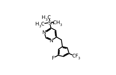 [CH3][Sn]([CH3])([CH3])[c]1cc(Cc2cc(F)cc(C(F)(F)F)c2)ncn1